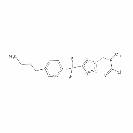 C=C(Cc1nc(C(F)(F)c2ccc(CCCC)cc2)no1)C(=O)O